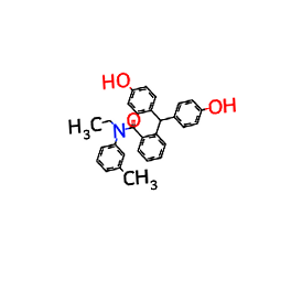 CCN(C(=O)c1ccccc1C(c1ccc(O)cc1)c1ccc(O)cc1)c1cccc(C)c1